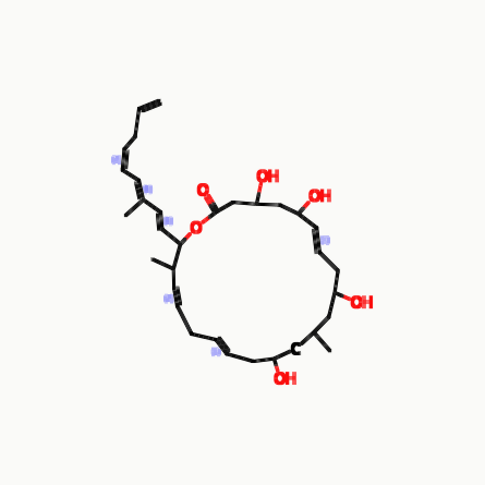 C=CC\C=C/C=C(C)/C=C/C1OC(=O)CC(O)CC(O)/C=C/CC(O)CC(C)CC(O)C/C=C/C/C=C\C1C